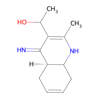 CC1=C(C(C)O)C(=N)[C@@H]2CC=CCC2N1